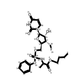 CCCCOC(=O)C(C)NP(=O)(OC[C@H]1O[C@@H](n2ccc(=O)[nH]c2=O)[C@H](O)[C@@H]1CF)Oc1ccccc1